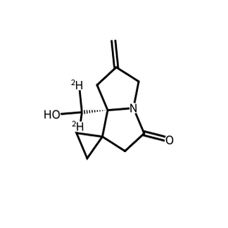 [2H]C([2H])(O)[C@]12CC(=C)CN1C(=O)CC21CC1